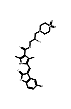 Cc1[nH]c(/C=C2\C(=O)Nc3ccc(F)cc32)c(C)c1C(=O)NC[C@H](O)CN1CCS(=O)(=O)CC1